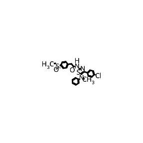 CC[S+]([O-])c1ccc(CC(=O)Nc2nc(-c3ccc(Cl)cc3)c(N(C)c3ccccc3)s2)cc1